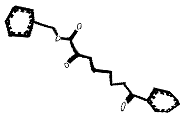 O=C(CCCCCC(=O)c1ccccc1)C(=O)OCc1ccccc1